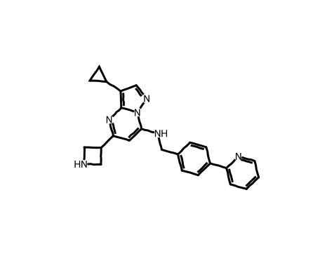 c1ccc(-c2ccc(CNc3cc(C4CNC4)nc4c(C5CC5)cnn34)cc2)nc1